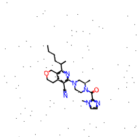 CCCCC(C)c1nc(N2CCN(C(=O)c3nccn3C)[C@H](C)C2)c(C#N)c2c1COCC2